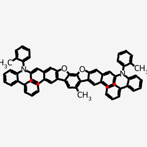 Cc1ccccc1N(c1ccc2cc3c(cc2c1)oc1c3cc(C)c2c3cc4ccc(N(c5ccccc5C)c5ccccc5-c5ccccc5)cc4cc3oc12)c1ccccc1-c1ccccc1